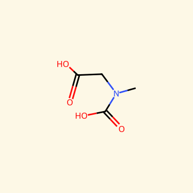 CN(CC(=O)O)C(=O)O